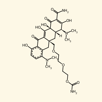 CN(C)c1ccc(O)c2c1C[C@@]1(COCCOCCOC(N)=O)C[C@H]3[C@H](N(C)C)C(O)=C(C(N)=O)C(=O)[C@@]3(O)C(O)=C1C2=O